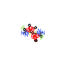 N#CC(C#N)=C1/C(=N/c2cc3c(s2)-c2cc4c(cc2OC3(C(=O)OCc2ccccc2)C(=O)OCc2ccccc2)-c2sc(/N=C3\C(=O)c5cc(F)c(F)cc5C3=C(C#N)C#N)cc2C(C(=O)OCc2ccccc2)(C(=O)OCc2ccccc2)O4)C(=O)c2cc(F)c(F)cc21